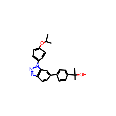 CC(C)Oc1ccc(-n2nnc3ccc(-c4ccc(C(C)(C)O)cc4)cc32)cc1